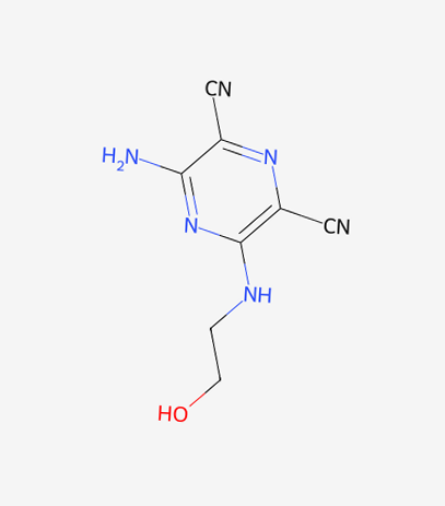 N#Cc1nc(C#N)c(NCCO)nc1N